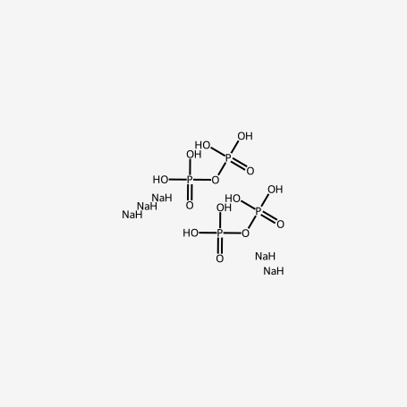 O=P(O)(O)OP(=O)(O)O.O=P(O)(O)OP(=O)(O)O.[NaH].[NaH].[NaH].[NaH].[NaH]